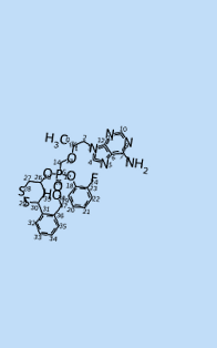 C[C@H](Cn1cnc2c(N)ncnc21)OCP(=O)(Oc1ccccc1F)OC1CSSC(c2ccccc2CO)C1